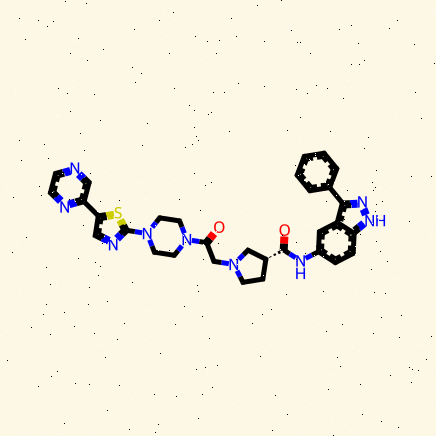 O=C(Nc1ccc2[nH]nc(-c3ccccc3)c2c1)[C@@H]1CCN(CC(=O)N2CCN(c3ncc(-c4cnccn4)s3)CC2)C1